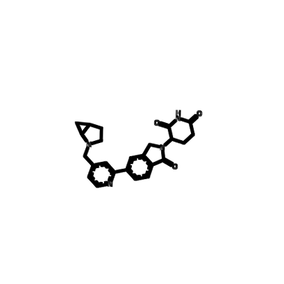 O=C1CCC(N2Cc3cc(-c4cc(CN5CCC6CC65)ccn4)ccc3C2=O)C(=O)N1